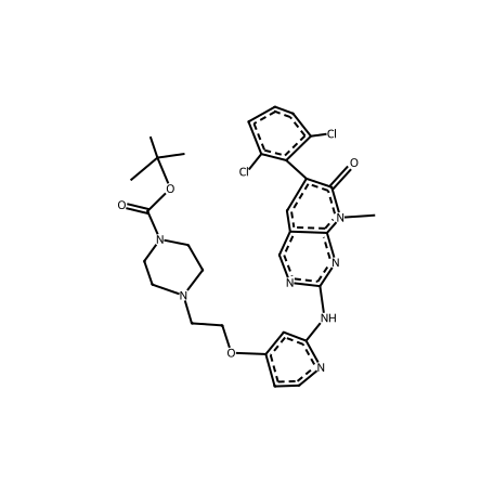 Cn1c(=O)c(-c2c(Cl)cccc2Cl)cc2cnc(Nc3cc(OCCN4CCN(C(=O)OC(C)(C)C)CC4)ccn3)nc21